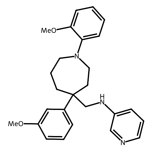 COc1cccc(C2(CNc3cccnc3)CCCN(c3ccccc3OC)CC2)c1